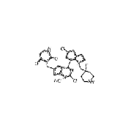 Cl.O=c1cc[nH]c(=O)n1Cc1cc2c(-c3cc(Cl)cc4ccn(CC5(F)CCNCC5)c34)nc(Cl)nn2c1